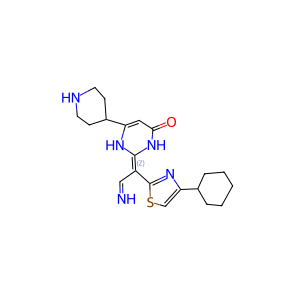 N=C/C(=C1/NC(=O)C=C(C2CCNCC2)N1)c1nc(C2CCCCC2)cs1